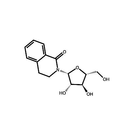 O=C1c2ccccc2CCN1[C@@H]1O[C@H](CO)[C@@H](O)[C@@H]1O